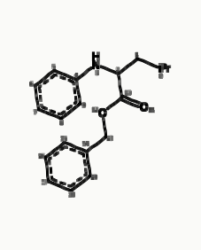 CC(C)CC(Nc1ccccc1)C(=O)OCc1ccccc1